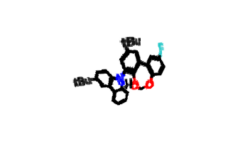 CC(C)(C)c1ccc2c(c1)C1=CC=CC[C@@H]1N2c1cc(C(C)(C)C)cc2c1OCOc1ccc(F)cc1-2